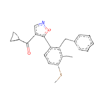 CSc1ccc(-c2oncc2C(=O)C2CC2)c(Cc2ccccc2)c1C